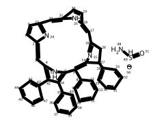 C1=Cc2cc3[nH]c(c(-c4ccccc4)c4nc(cc5ccc(cc1n2)[nH]5)CC4c1ccccc1)c(-c1ccccc1)c3-c1ccccc1.N[SH](=O)=O